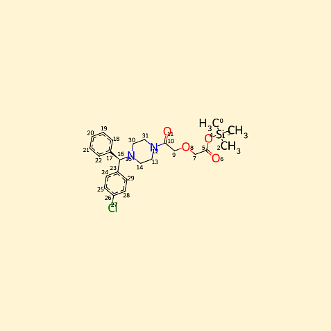 C[Si](C)(C)OC(=O)COCC(=O)N1CCN([C@H](c2ccccc2)c2ccc(Cl)cc2)CC1